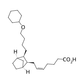 O=C(O)CCC/C=C\C[C@H]1[C@H]2CC[C@H](C2)[C@H]1CCCCOC1CCCCC1